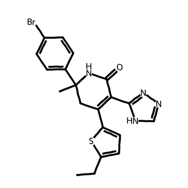 CCc1ccc(C2=C(c3nnc[nH]3)C(=O)NC(C)(c3ccc(Br)cc3)C2)s1